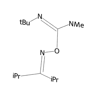 CNC(=NC(C)(C)C)ON=C(C(C)C)C(C)C